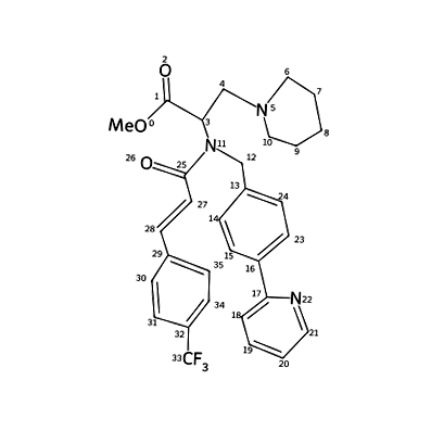 COC(=O)C(CN1CCCCC1)N(Cc1ccc(-c2ccccn2)cc1)C(=O)C=Cc1ccc(C(F)(F)F)cc1